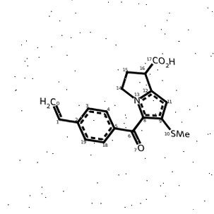 C=Cc1ccc(C(=O)c2c(SC)cc3n2CCC3C(=O)O)cc1